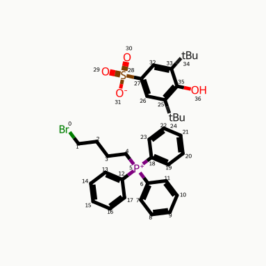 BrCCCC[P+](c1ccccc1)(c1ccccc1)c1ccccc1.CC(C)(C)c1cc(S(=O)(=O)[O-])cc(C(C)(C)C)c1O